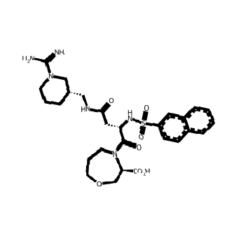 N=C(N)N1CCC[C@@H](CNC(=O)C[C@H](NS(=O)(=O)c2ccc3ccccc3c2)C(=O)N2CCCOC[C@@H]2C(=O)O)C1